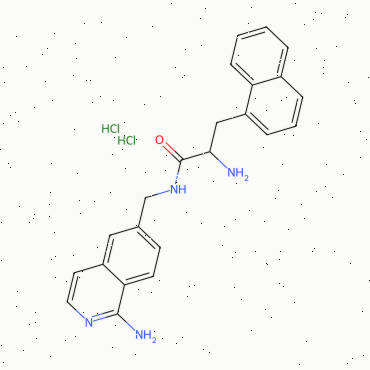 Cl.Cl.Nc1nccc2cc(CNC(=O)C(N)Cc3cccc4ccccc34)ccc12